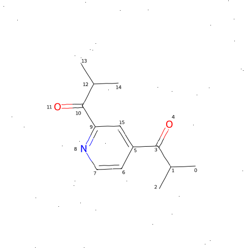 CC(C)C(=O)c1ccnc(C(=O)C(C)C)c1